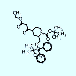 CCOC(=O)CC(=O)C1CCN(C(=O)OC(C)(C)C)C(CO[Si](c2ccccc2)(c2ccccc2)C(C)(C)C)C1